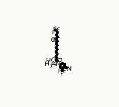 C[C@](O)(CCCCCCCCC[S+]([O-])CCCC(F)(F)F)C(=O)Nc1ccc(C#N)c(C(F)(F)F)c1